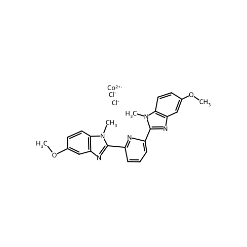 COc1ccc2c(c1)nc(-c1cccc(-c3nc4cc(OC)ccc4n3C)n1)n2C.[Cl-].[Cl-].[Co+2]